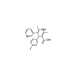 CC1=C(C(=O)O)C(c2ccc(I)cc2)C(c2cccnc2)=C(C)N1